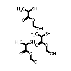 CC(S)C(=O)OCO.CC(S)C(=O)OCO.CC(S)C(=O)OCO